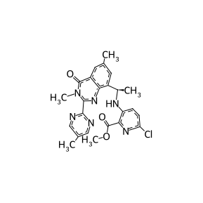 COC(=O)c1nc(Cl)ccc1N[C@H](C)c1cc(C)cc2c(=O)n(C)c(-c3ncc(C)cn3)nc12